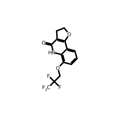 O=c1[nH]c2c(OCC(F)(F)C(F)(F)F)cccc2c2c1CCO2